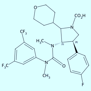 CN(C(=O)N(C)[C@@H]1C(C2CCOCC2)N(C(=O)O)C[C@H]1c1ccc(F)cc1)c1cc(C(F)(F)F)cc(C(F)(F)F)c1